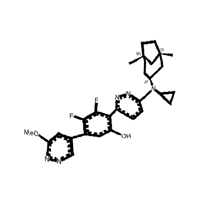 COc1cc(-c2cc(O)c(-c3ccc(N(C4CC4)[C@H]4C[C@]5(C)CC[C@](C)(C4)C5)nn3)c(F)c2F)cnn1